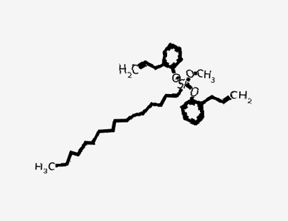 C=CCc1ccccc1O[Si](CCCCCCCCCCCCCCCC)(OC)Oc1ccccc1CC=C